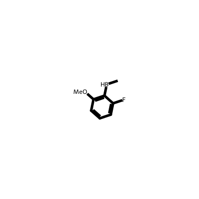 CBc1c(F)cccc1OC